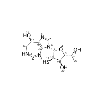 CC(O)[C@H]1O[C@@H](n2cnc3c2N=CNC[C@H]3O)[C@H](S)[C@@H]1O